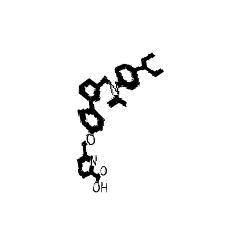 CCC(CC)c1ccc(N(Cc2cccc(-c3ccc(OCc4cccc(C(=O)O)n4)cc3)c2)C(C)C)cc1